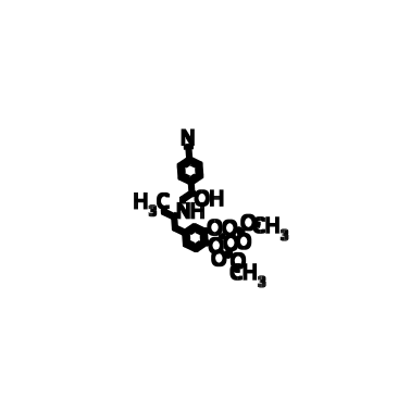 CCC(Cc1ccc2c(c1)OC(OC(=O)OC)(OC(=O)OC)O2)NCC(O)c1ccc(C#N)cc1